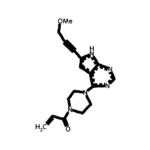 C=CC(=O)N1CCN(c2ncnc3[nH]c(C#CCOC)cc23)CC1